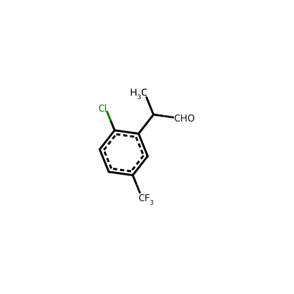 CC(C=O)c1cc(C(F)(F)F)ccc1Cl